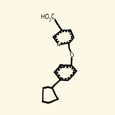 O=C(O)c1ccc(Oc2ccc(C3CCCC3)cc2)nc1